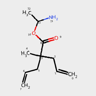 C=CCC(C)(CC=C)C(=O)OC(C)N